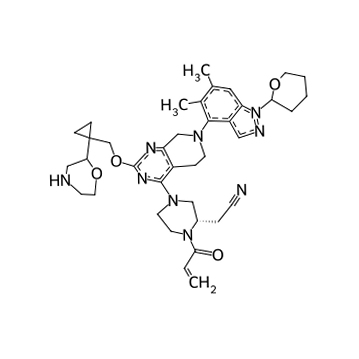 C=CC(=O)N1CCN(c2nc(OCC3(C4CNCCO4)CC3)nc3c2CCN(c2c(C)c(C)cc4c2cnn4C2CCCCO2)C3)C[C@@H]1CC#N